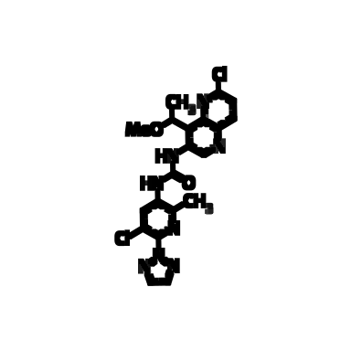 COC(C)c1c(NC(=O)Nc2cc(Cl)c(-n3nccn3)nc2C)cnc2ccc(Cl)nc12